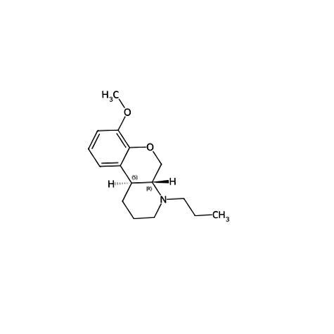 CCCN1CCC[C@H]2c3cccc(OC)c3OC[C@@H]21